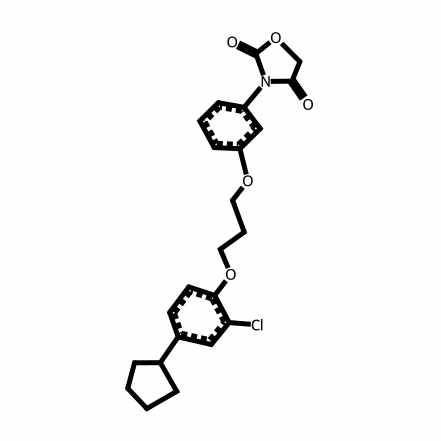 O=C1COC(=O)N1c1cccc(OCCCOc2ccc(C3CCCC3)cc2Cl)c1